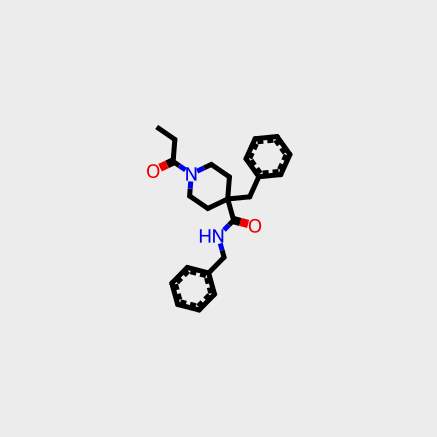 CCC(=O)N1CCC(Cc2ccccc2)(C(=O)NCc2ccccc2)CC1